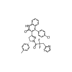 Cc1ccc([C@@H]2CC(c3c(-c4ccc(Cl)cc4)c4ccccc4[nH]c3=O)=NN2C(=O)C(F)(F)Cc2nccs2)cc1